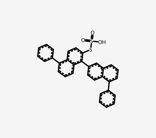 O=S(=O)(O)Sc1ccc2c(-c3ccccc3)cccc2c1-c1ccc2c(-c3ccccc3)cccc2c1